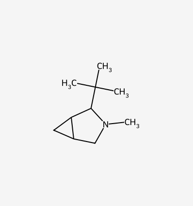 CN1CC2CC2C1C(C)(C)C